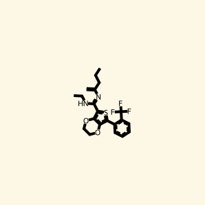 C=C(CCC)/N=C(\NCC)c1sc(-c2ccccc2C(F)(F)F)c2c1OCCO2